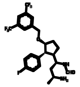 C[C@H](N)C[C@H](NC=O)[C@@H]1CC[C@H](OCc2cc(C(F)(F)F)cc(C(F)(F)F)c2)[C@H]1c1ccc(F)cc1